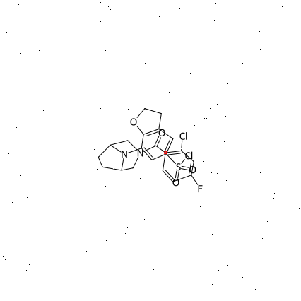 O=C(c1ccc(F)cc1Cl)N1CC2CCC(C1)N2c1cc(S(=O)(=O)Cl)cc2c1OCC2